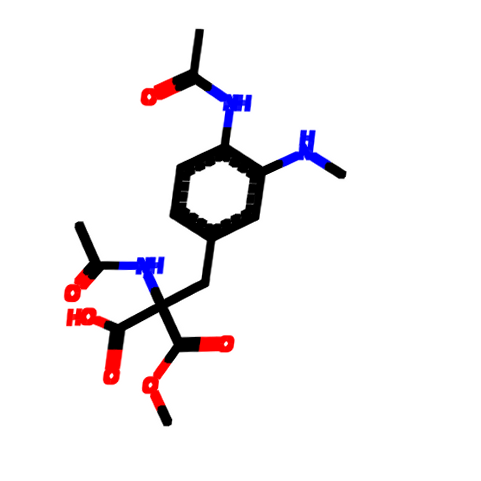 CNc1cc(CC(NC(C)=O)(C(=O)O)C(=O)OC)ccc1NC(C)=O